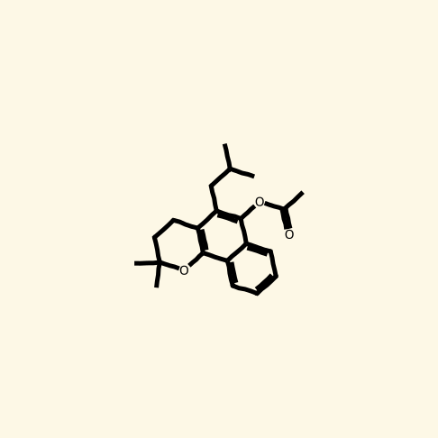 C[C](C)Cc1c2c(c3ccccc3c1OC(C)=O)OC(C)(C)CC2